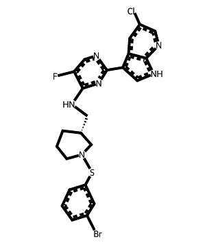 Fc1cnc(-c2c[nH]c3ncc(Cl)cc23)nc1NC[C@H]1CCCN(Sc2cccc(Br)c2)C1